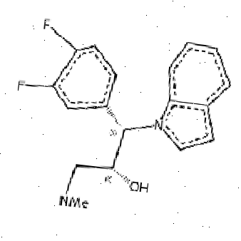 CNC[C@@H](O)[C@H](c1ccc(F)c(F)c1)n1ccc2ccccc21